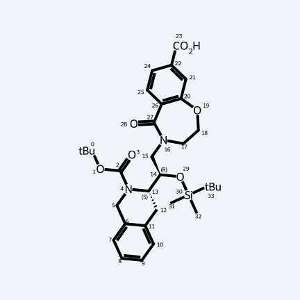 CC(C)(C)OC(=O)N1Cc2ccccc2C[C@H]1[C@@H](CN1CCOc2cc(C(=O)O)ccc2C1=O)O[Si](C)(C)C(C)(C)C